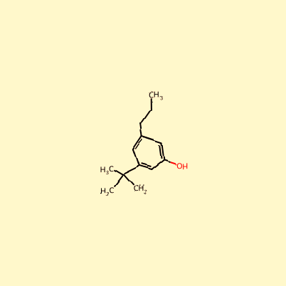 CCCc1cc(O)cc(C(C)(C)C)c1